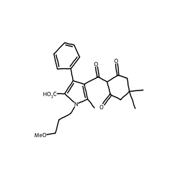 COCCCn1c(C)c(C(=O)C2C(=O)CC(C)(C)CC2=O)c(-c2ccccc2)c1C(=O)O